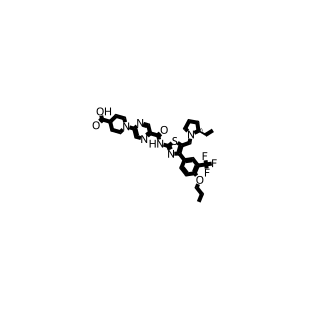 CCCOc1ccc(-c2nc(NC(=O)c3cnc(N4CCC(C(=O)O)CC4)cn3)sc2CN2CCC[C@H]2CC)cc1C(F)(F)F